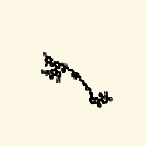 Cn1cc(-c2cc(NC(=O)CCCc3cn(CCCCCOCC#Cc4cccc5c4CN(C4CCC(=O)NC4=O)C5=O)nn3)ccc2Oc2ccc(F)cc2F)c2cc[nH]c2c1=O